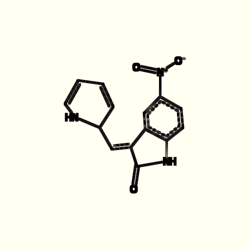 O=C1Nc2ccc([N+](=O)[O-])cc2/C1=C\C1C=CC=CN1